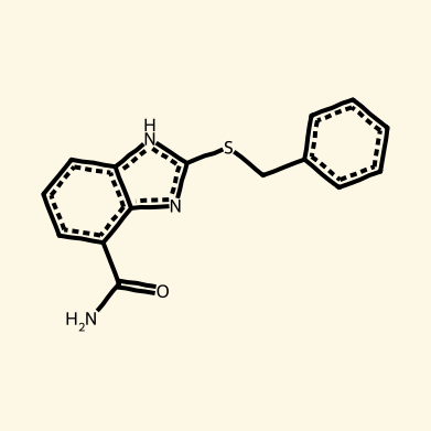 NC(=O)c1cccc2[nH]c(SCc3ccccc3)nc12